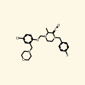 CC1C(=C=O)N(Cc2ccc(F)cc2)CCN1COc1ccc(Cl)cc1CN1CCOCC1